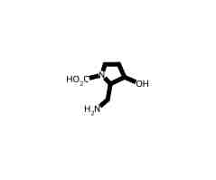 NCC1C(O)CCN1C(=O)O